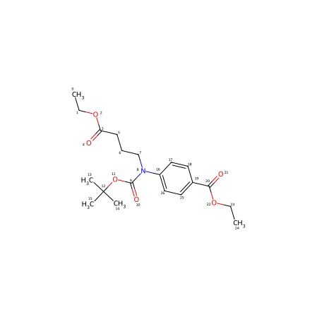 CCOC(=O)CCCN(C(=O)OC(C)(C)C)c1ccc(C(=O)OCC)cc1